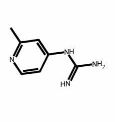 Cc1cc(NC(=N)N)ccn1